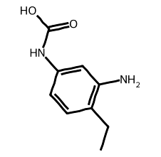 CCc1ccc(NC(=O)O)cc1N